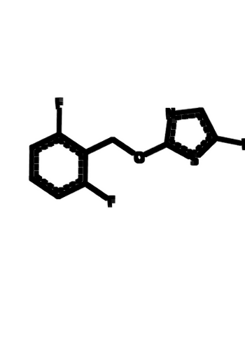 Fc1cccc(F)c1COc1ncc(Br)s1